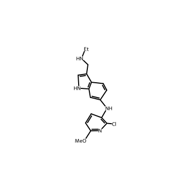 CCNCc1c[nH]c2cc(Nc3ccc(OC)nc3Cl)ccc12